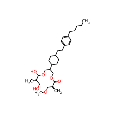 C=C(COC)C(=O)OCC(COC(O)C(=C)CO)C1CCC(CCc2ccc(CCCCC)cc2)CC1